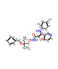 CC(C)(CONC(=O)c1oc2ccncc2c1NC1CC=C(I)C=C1F)OCc1ccccc1